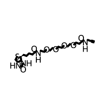 C#CCNC(=O)CCOCCOCCOCCOCCNC(=O)CCCC[C@@H]1SCC2NC(=O)NC21